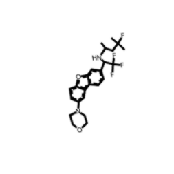 CC(CC(C)(C)F)NC(c1ccc2c(c1)oc1ccc(N3CCOCC3)cc12)C(F)(F)F